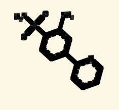 Nc1cc(-c2ccccn2)ccc1S(N)(=O)=O